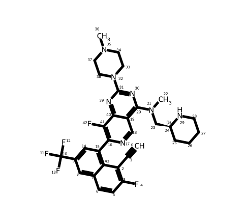 C#Cc1c(F)ccc2cc(C(F)(F)F)cc(-c3ncc4c(N(C)C[C@@H]5CCCCN5)nc(N5CCN(C)CC5)nc4c3F)c12